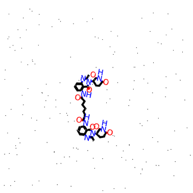 Cc1nc2cccc(NC(=O)CCCCCC(=O)Nc3cccc4nc(C)n(C5CCC(=O)NC5=O)c(=O)c34)c2c(=O)n1C1CCC(=O)NC1=O